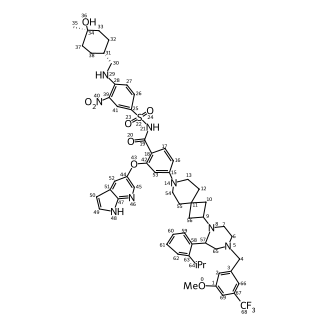 COc1cc(CN2CCN(C3CC4(CCN(c5ccc(C(=O)NS(=O)(=O)c6ccc(NC[C@H]7CC[C@](C)(O)CC7)c([N+](=O)[O-])c6)c(Oc6cnc7[nH]ccc7c6)c5)CC4)C3)C(c3ccccc3C(C)C)C2)cc(C(F)(F)F)c1